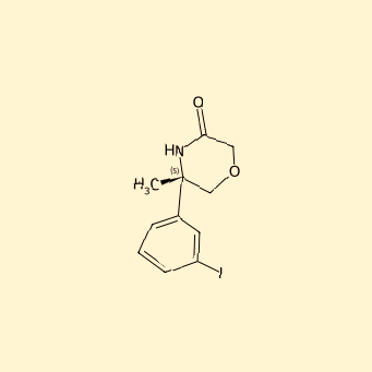 C[C@]1(c2cccc(I)c2)COCC(=O)N1